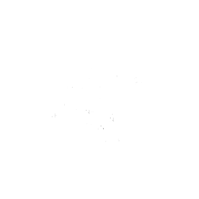 CC(C)(CF)NC(=O)n1cccn1.O=S(=O)(O)c1cccc2c(S(=O)(=O)O)cccc12